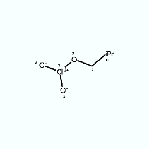 CC(C)CO[Cl+2]([O-])[O-]